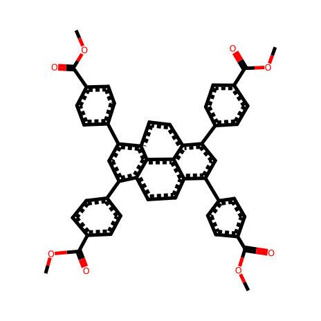 COC(=O)c1ccc(-c2cc(-c3ccc(C(=O)OC)cc3)c3ccc4c(-c5ccc(C(=O)OC)cc5)cc(-c5ccc(C(=O)OC)cc5)c5ccc2c3c54)cc1